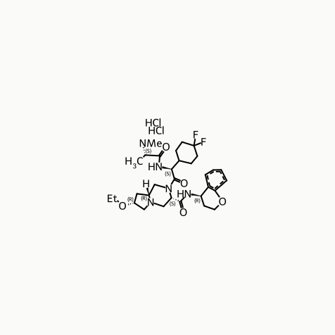 CCO[C@@H]1C[C@@H]2CN(C(=O)[C@@H](NC(=O)[C@H](C)NC)C3CCC(F)(F)CC3)[C@H](C(=O)N[C@@H]3CCOc4ccccc43)CN2C1.Cl.Cl